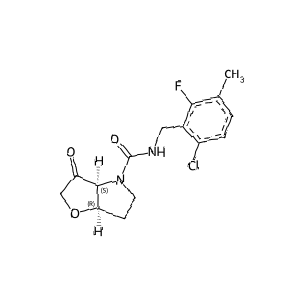 Cc1ccc(Cl)c(CNC(=O)N2CC[C@H]3OCC(=O)[C@H]32)c1F